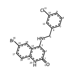 O=c1cc(NCc2cccc(Cl)c2)c2cc(Br)ccc2[nH]1